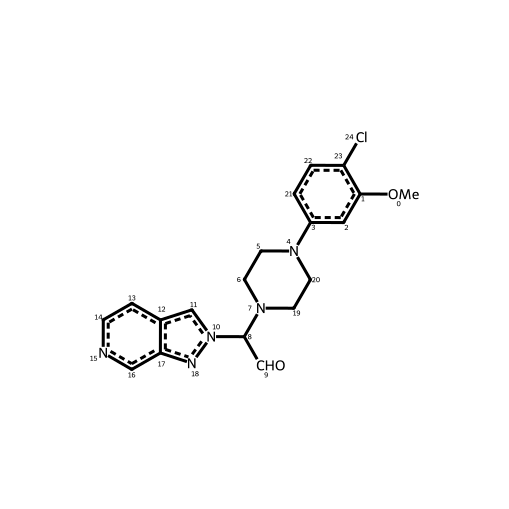 COc1cc(N2CCN(C(C=O)n3cc4ccncc4n3)CC2)ccc1Cl